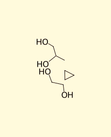 C1CC1.CC(O)CO.OCCO